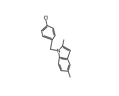 Cc1ccc2c(c1)cc(C)n2Cc1ccc(Cl)cc1